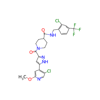 COc1cc(-c2cc(C(=O)N3CCC(C(=O)NCc4ccc(C(F)(F)F)cc4Cl)CC3)n[nH]2)c(Cl)cn1